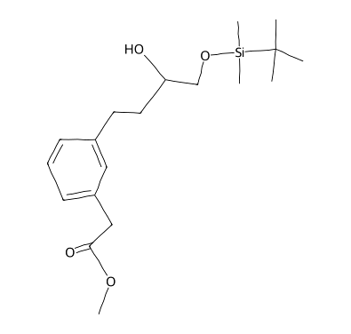 COC(=O)Cc1cccc(CCC(O)CO[Si](C)(C)C(C)(C)C)c1